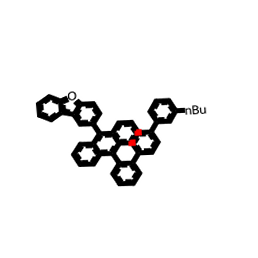 CCCCc1cccc(-c2ccc(-c3ccccc3-c3c4ccccc4c(-c4ccc5oc6ccccc6c5c4)c4ccccc34)cc2)c1